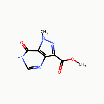 COC(=O)c1nn(C)c2c(=O)[nH]cnc12